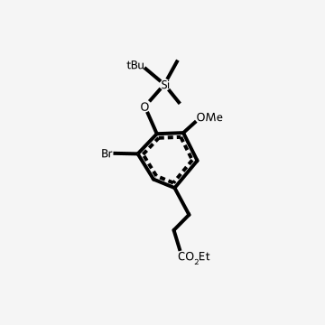 CCOC(=O)CCc1cc(Br)c(O[Si](C)(C)C(C)(C)C)c(OC)c1